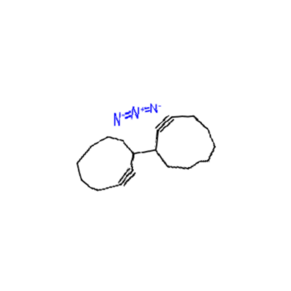 C1#CC(C2C#CCCCCCC2)CCCCCC1.[N-]=[N+]=[N-]